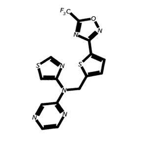 FC(F)(F)c1nc(-c2ccc(CN(c3cnccn3)c3cscn3)s2)no1